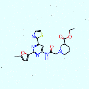 CCOC(=O)C1CCCN(CC(=O)Nc2cc(-c3nccs3)nc(-c3ccc(C)o3)n2)C1